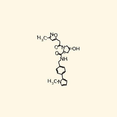 Cc1cc(CC(=O)N2C[C@H](O)C[C@H]2C(=O)NCc2ccc(-c3cccn3C)cc2)on1